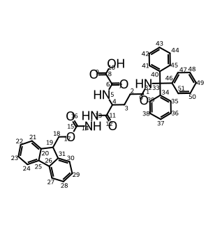 O=C(CCC(NC(=O)C(=O)O)C(=O)NNC(=O)OCC1c2ccccc2-c2ccccc21)NC(c1ccccc1)(c1ccccc1)c1ccccc1